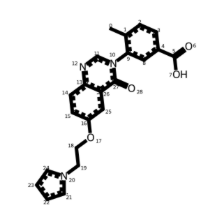 Cc1ccc(C(=O)O)cc1-n1cnc2ccc(OCCn3[c]ccc3)cc2c1=O